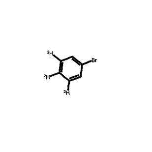 [2H]c1cc(Br)cc([2H])c1[2H]